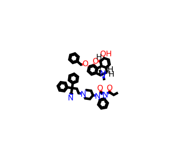 CCC(=O)n1c(=O)n(C2CCN(CCC(C#N)(c3ccccc3)c3ccccc3)CC2)c2ccccc21.CN1CC[C@]23c4c5ccc(OCc6ccccc6)c4O[C@H]2[C@@H](O)C=C[C@H]3[C@H]1C5